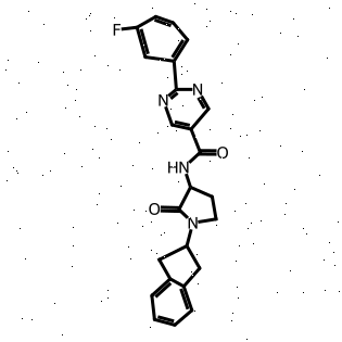 O=C(NC1CCN(C2Cc3ccccc3C2)C1=O)c1cnc(-c2cccc(F)c2)nc1